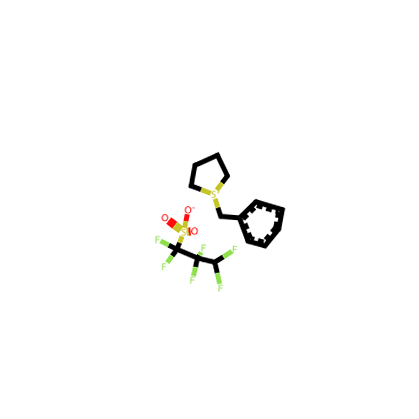 O=S(=O)([O-])C(F)(F)C(F)(F)C(F)F.c1ccc(C[S+]2CCCC2)cc1